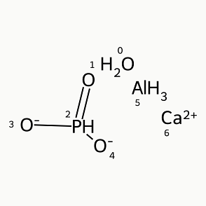 O.O=[PH]([O-])[O-].[AlH3].[Ca+2]